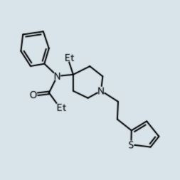 CCC(=O)N(c1ccccc1)C1(CC)CCN(CCc2cccs2)CC1